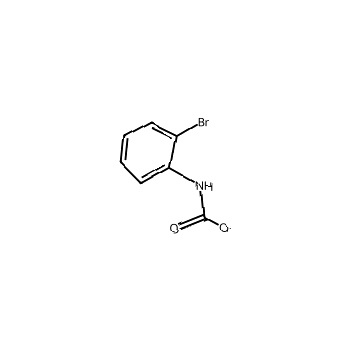 [O]C(=O)Nc1ccccc1Br